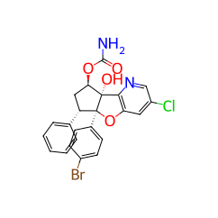 NC(=O)O[C@@H]1C[C@@H](c2ccccc2)[C@]2(c3ccc(Br)cc3)Oc3cc(Cl)cnc3[C@]12O